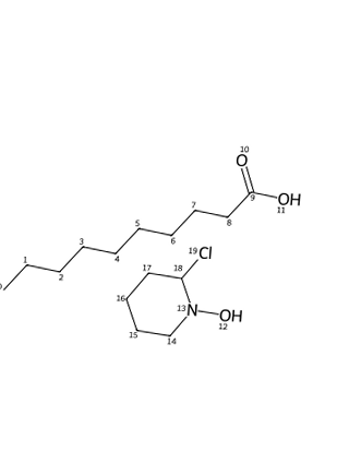 CCCCCCCCCC(=O)O.ON1CCCCC1Cl